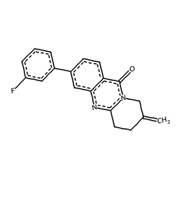 C=C1CCc2nc3cc(-c4cccc(F)c4)ccc3c(=O)n2C1